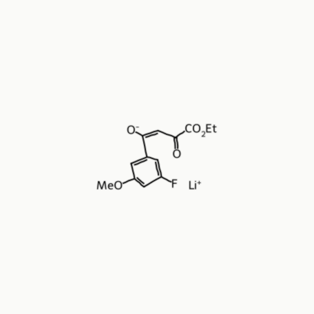 CCOC(=O)C(=O)/C=C(/[O-])c1cc(F)cc(OC)c1.[Li+]